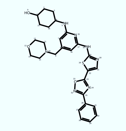 OC1CCC(Nc2cc(CN3CCOCC3)cc(Nc3ncc(-c4nc(-c5ccccc5)no4)s3)n2)CC1